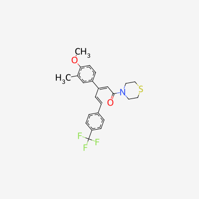 COc1ccc(C(C=Cc2ccc(C(F)(F)F)cc2)=CC(=O)N2CCSCC2)cc1C